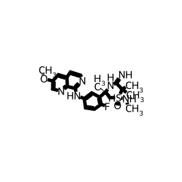 CN[SH]1(=O)C[C@@](C)(c2cc(Nc3nccc4cc(OC)cnc34)ccc2F)NC(=N)C1(C)C